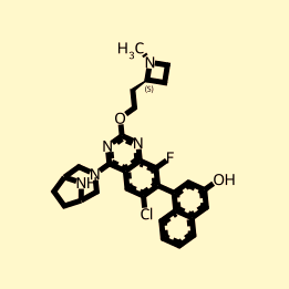 CN1CC[C@H]1CCOc1nc(N2CC3CCC(C2)N3)c2cc(Cl)c(-c3cc(O)cc4ccccc34)c(F)c2n1